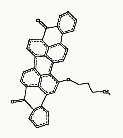 CCCCOc1cc2c3c(ccc4c5ccc6c7c(ccc(c1c34)c75)-c1ccccc1C6=O)C(=O)c1ccccc1-2